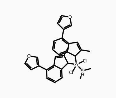 CC1=Cc2c(-c3ccoc3)cccc2[CH]1[Zr]([Cl])([Cl])([CH]1C(C)=Cc2c(-c3ccoc3)cccc21)[SiH](C)C